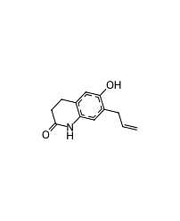 C=CCc1cc2c(cc1O)CCC(=O)N2